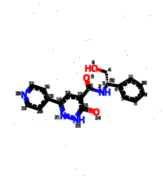 O=C(N[C@H](CO)c1ccccc1)c1cc(-c2ccncc2)n[nH]c1=O